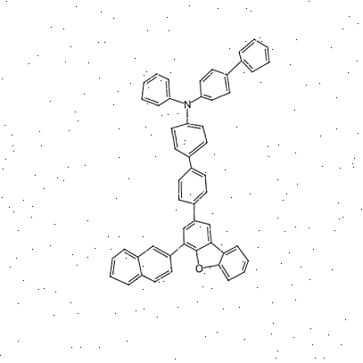 c1ccc(-c2ccc(N(c3ccccc3)c3ccc(-c4ccc(-c5cc(-c6ccc7ccccc7c6)c6oc7ccccc7c6c5)cc4)cc3)cc2)cc1